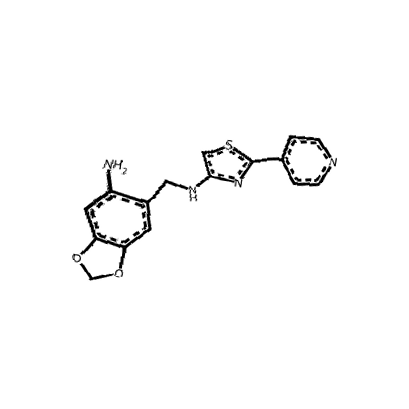 Nc1cc2c(cc1CNc1csc(-c3ccncc3)n1)OCO2